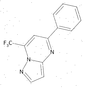 FC(F)(F)c1cc(-c2ccccc2)nc2c[c]nn12